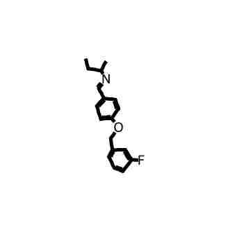 CCC(C)/N=C/c1ccc(OCc2cccc(F)c2)cc1